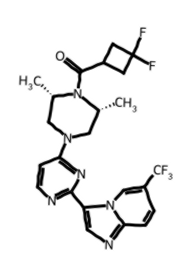 C[C@@H]1CN(c2ccnc(-c3cnc4ccc(C(F)(F)F)cn34)n2)C[C@H](C)N1C(=O)C1CC(F)(F)C1